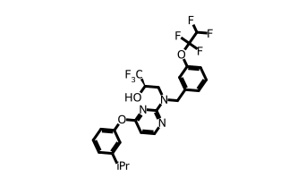 CC(C)c1cccc(Oc2ccnc(N(Cc3cccc(OC(F)(F)C(F)F)c3)C[C@@H](O)C(F)(F)F)n2)c1